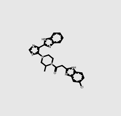 CC1CN(c2scnc2-c2nc3ccccc3[nH]2)CCN1C(=O)Cc1nc2cc(Cl)ccc2[nH]1